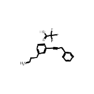 NCCCc1cccc(C#CCc2ccccc2)c1.O=C(O)C(F)(F)F